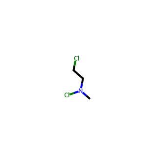 CN(Cl)CCCl